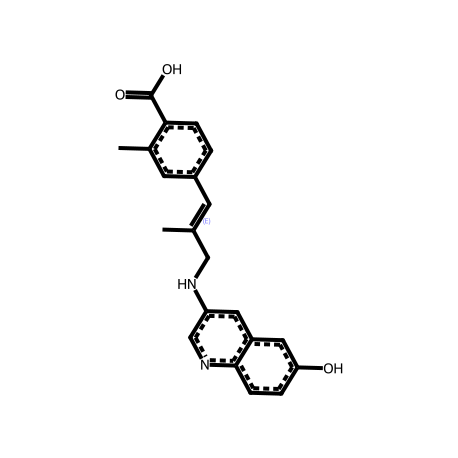 C/C(=C\c1ccc(C(=O)O)c(C)c1)CNc1cnc2ccc(O)cc2c1